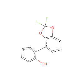 Oc1ccccc1-c1cccc2c1OC(F)(F)O2